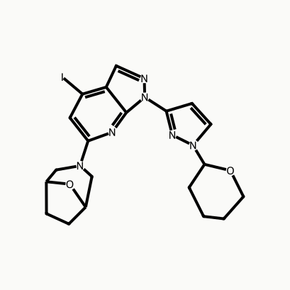 Ic1cc(N2CC3CCC(C2)O3)nc2c1cnn2-c1ccn(C2CCCCO2)n1